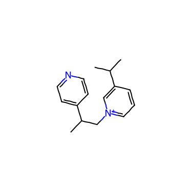 CC(C)c1ccc[n+](CC(C)c2ccncc2)c1